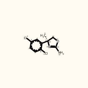 C[C@]1(c2cc(Cl)ccc2Cl)COC(N)=N1